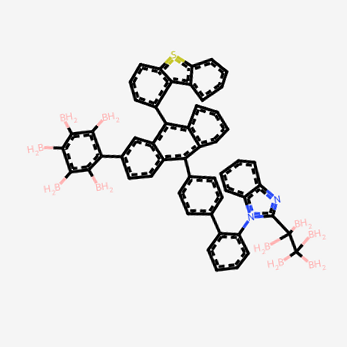 Bc1c(B)c(B)c(-c2ccc3c(-c4ccc(-c5ccccc5-n5c(C(B)(B)C(B)(B)B)nc6ccccc65)cc4)c4ccccc4c(-c4cccc5sc6ccccc6c45)c3c2)c(B)c1B